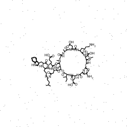 CCC(C)C1NC(=O)C(CCC(=O)O)NC(=O)C(CC(N)=O)NC(=O)CNC(=O)C(C(OC)C(=O)O)NC(=O)C(CCCCN)NC(=O)C(CC(=O)O)NC(=O)C(C)NC(=O)CN(C)C(=O)C(NC(=O)C(CC(N)=O)NC(=O)C(CCC(=O)O)NC(=O)C(Cc2c[nH]c3ccccc23)NC(=O)CCCCCCC(C)C)C(C)OC1=O